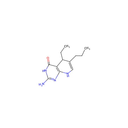 CCCC1=CNc2nc(N)[nH]c(=O)c2C1CC